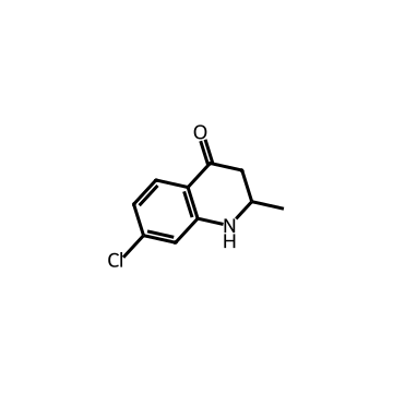 CC1CC(=O)c2ccc(Cl)cc2N1